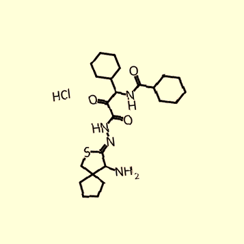 Cl.NC1C(=NNC(=O)C(=O)C(NC(=O)C2CCCCC2)C2CCCCC2)SCC12CCCC2